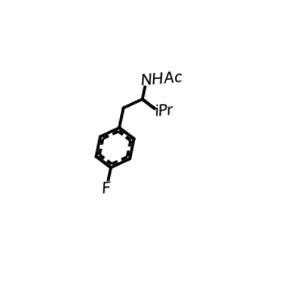 CC(=O)NC(Cc1ccc(F)cc1)C(C)C